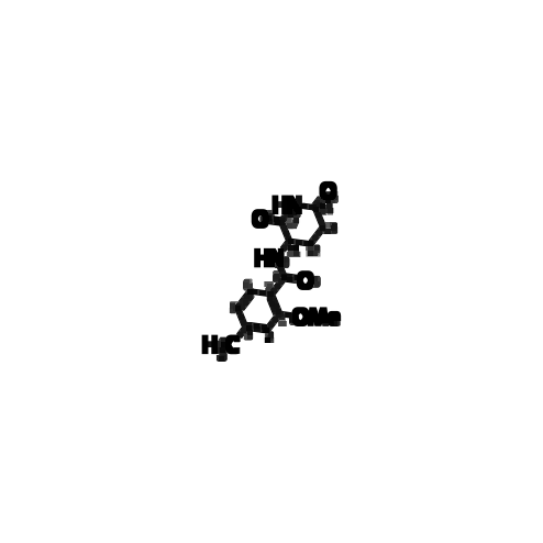 COc1cc(C)ccc1C(=O)NC1CCC(=O)NC1=O